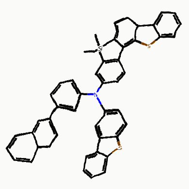 C[Si]1(C)C2=CCC3C(=C2c2ccc(N(c4cccc(C5=CCC6C=CC=CC6=C5)c4)c4ccc5sc6ccccc6c5c4)cc21)Sc1ccccc13